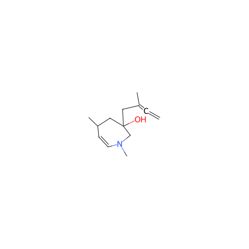 C=C=C(C)CC1(O)CC(C)C=CN(C)C1